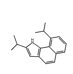 CC(C)c1cc2ccc3cccc(C(C)C)c3c2[nH]1